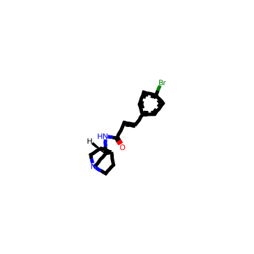 O=C(/C=C/c1ccc(Br)cc1)N[C@H]1CN2CCC1CC2